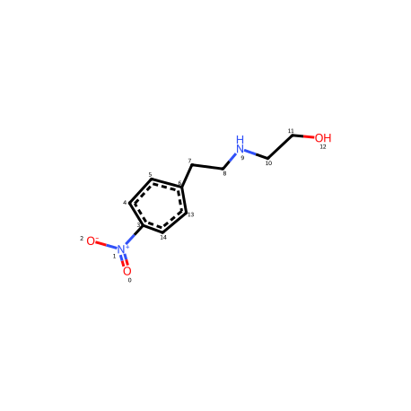 O=[N+]([O-])c1ccc(CCNCCO)cc1